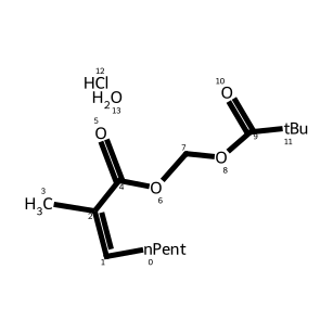 CCCCCC=C(C)C(=O)OCOC(=O)C(C)(C)C.Cl.O